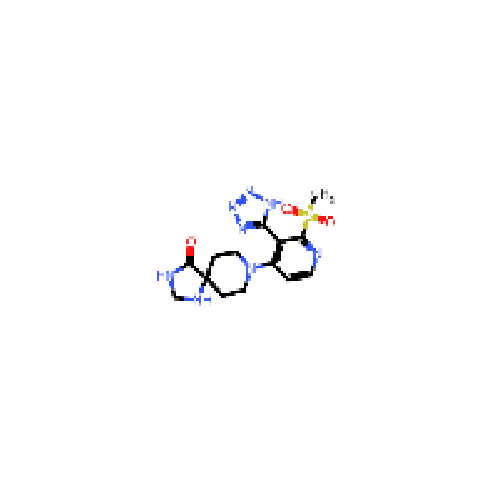 CS(=O)(=O)c1nccc(N2CCC3(CC2)NCNC3=O)c1-c1nnn[nH]1